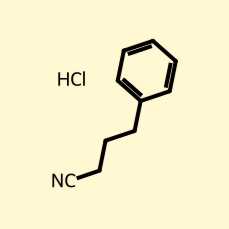 Cl.N#CCCCc1ccccc1